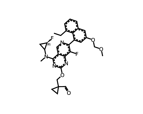 CCc1cccc2cc(OCOC)cc(-c3ncc4c(N(C)C5C[C@H]5F)nc(OCC5(C=O)CC5)nc4c3F)c12